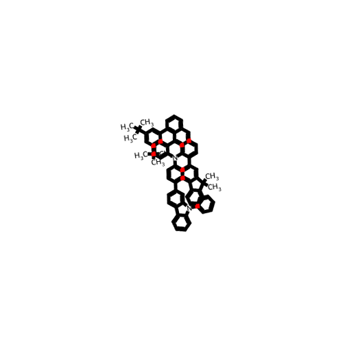 CC(C)(C)c1cc(-c2cccc3cccc(-c4ccccc4N(c4ccc(-c5ccc6c7ccccc7n(-c7ccccc7)c6c5)cc4)c4ccccc4-c4ccc5c(c4)C(C)(C)c4ccccc4-5)c23)cc(C(C)(C)C)c1